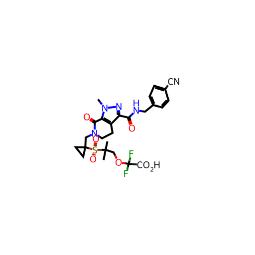 Cn1nc(C(=O)NCc2ccc(C#N)cc2)c2c1C(=O)N(CC1(S(=O)(=O)C(C)(C)COC(F)(F)C(=O)O)CC1)CC2